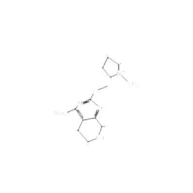 COc1nc(OC[C@@H]2CCCN2C)nc2c1CCNC2